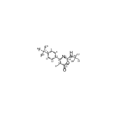 Cc1c(-c2ccc(C(F)(F)F)cc2)nc(NC(C)(C)C)oc1=O